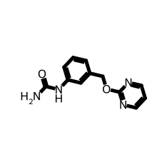 NC(=O)Nc1cccc(COc2ncccn2)c1